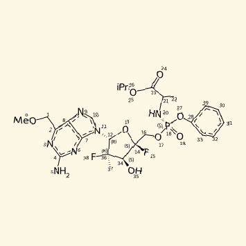 COCc1nc(N)nc2c1ncn2[C@@H]1O[C@](F)(CO[P@@](=O)(NC(C)C(=O)OC(C)C)Oc2ccccc2)[C@@H](O)[C@@]1(C)F